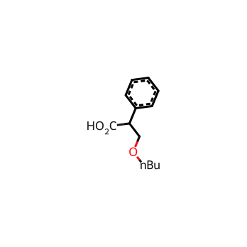 CCCCOCC(C(=O)O)c1ccccc1